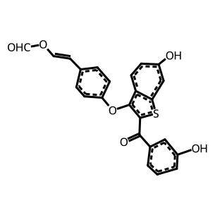 O=CO/C=C/c1ccc(Oc2c(C(=O)c3cccc(O)c3)sc3cc(O)ccc23)cc1